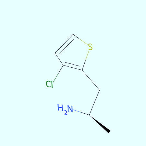 C[C@@H](N)Cc1sccc1Cl